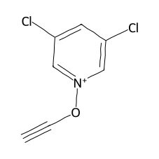 C#CO[n+]1cc(Cl)cc(Cl)c1